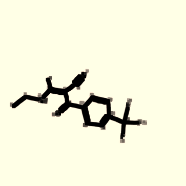 CCNC(C)=C(C#N)C(=O)c1ccc(C(F)(F)F)cc1